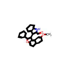 COc1ccc2ccc3oc(-c4ccccc4)c(-c4c(C=O)[nH]c5ccccc45)c3c2c1